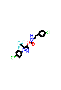 O=C(NCCc1ccc(Cl)cc1)Oc1cnn(-c2ccc(Cl)cc2)c1C(F)(F)F